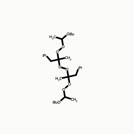 CC(C)COC(C)OOC(C)(CC(C)C)OOC(C)(CC(C)C)OOC(C)OCC(C)C